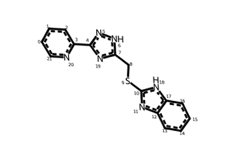 c1ccc(-c2n[nH]c(CSc3nc4ccccc4[nH]3)n2)nc1